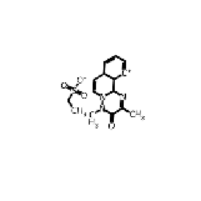 CC1=NC2C3[C+]=CC=CC3C=CN2N(C)C1=O.CCS(=O)(=O)[O-]